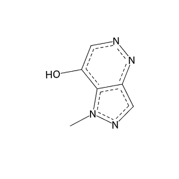 Cn1ncc2nncc(O)c21